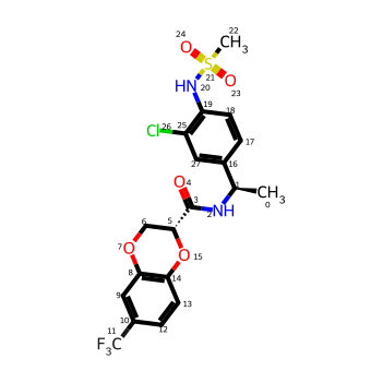 C[C@@H](NC(=O)[C@H]1COc2cc(C(F)(F)F)ccc2O1)c1ccc(NS(C)(=O)=O)c(Cl)c1